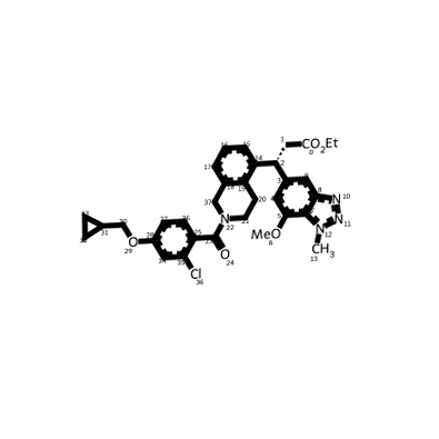 CCOC(=O)C[C@H](c1cc(OC)c2c(c1)nnn2C)c1cccc2c1CCN(C(=O)c1ccc(OCC3CC3)cc1Cl)C2